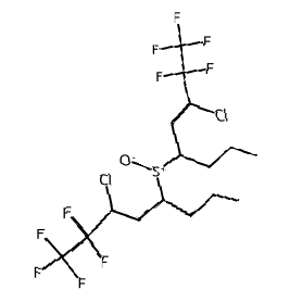 CCCC(CC(Cl)C(F)(F)C(F)(F)F)[S+]([O-])C(CCC)CC(Cl)C(F)(F)C(F)(F)F